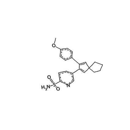 COc1ccc(C2=CC3(C=C2c2ccc(S(N)(=O)=O)nc2)CCCC3)cc1